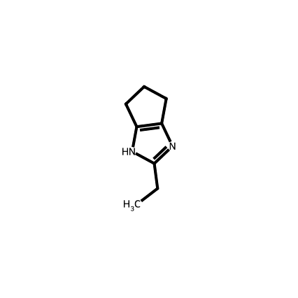 CCc1nc2c([nH]1)CCC2